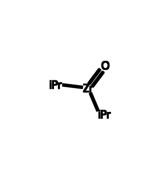 C[CH](C)[Zr](=[O])[CH](C)C